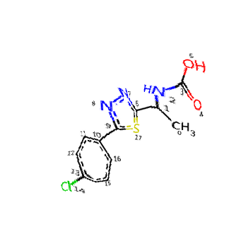 CC(NC(=O)O)c1nnc(-c2ccc(Cl)cc2)s1